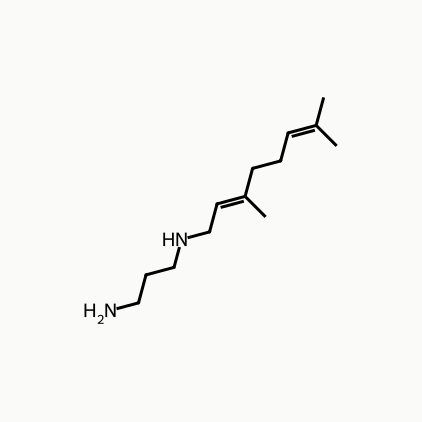 CC(C)=CCC/C(C)=C/CNCCCN